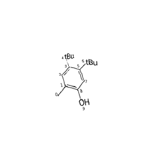 Cc1cc(C(C)(C)C)c(C(C)(C)C)cc1O